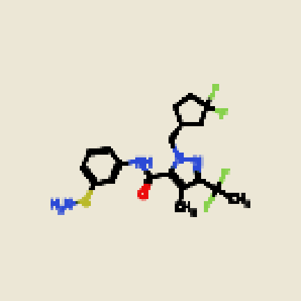 Cc1c(C(C)(F)F)nn(C[C@H]2CCC(F)(F)C2)c1C(=O)Nc1cccc(SN)c1